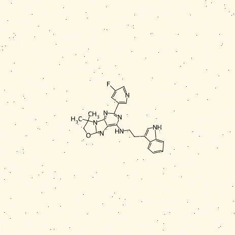 CC1(C)COc2nc3c(NCCc4c[nH]c5ccccc45)nc(-c4cncc(F)c4)nc3n21